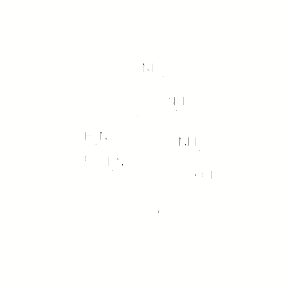 CC(N)C(N)(N)C(N)(N)C(=O)O.Cl